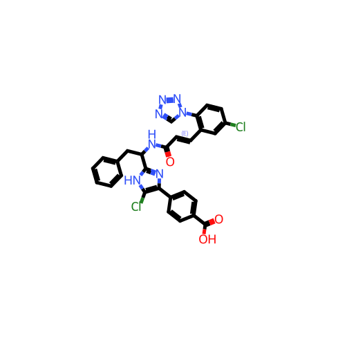 O=C(/C=C/c1cc(Cl)ccc1-n1cnnn1)NC(Cc1ccccc1)c1nc(-c2ccc(C(=O)O)cc2)c(Cl)[nH]1